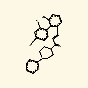 O=C(/C=C/c1cc[c]c(Cl)c1-c1ccc(Cl)cc1Cl)N1CCN(c2ccccn2)CC1